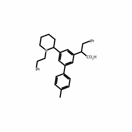 Cc1ccc(-c2cc(C(CC(C)C)C(=O)O)cc(C3CCCCN3CCC(C)C)c2)cc1